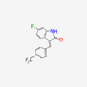 O=C1Nc2cc(F)ccc2C1=Cc1ccc(C(F)(F)F)cc1